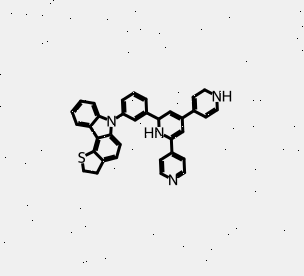 C1=CC(C2=CC(c3cccc(-n4c5ccccc5c5c6c(ccc54)CCS6)c3)NC(c3ccncc3)=C2)=CCN1